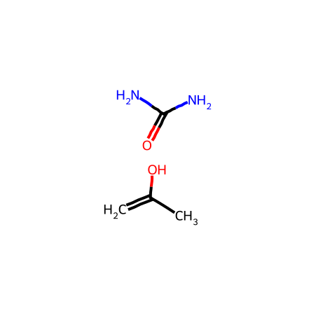 C=C(C)O.NC(N)=O